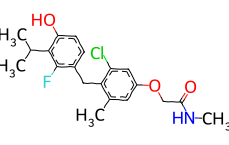 CNC(=O)COc1cc(C)c(Cc2ccc(O)c(C(C)C)c2F)c(Cl)c1